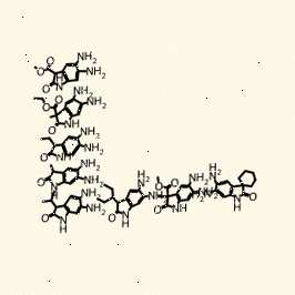 CC(C)C1C(=O)Nc2cc(N)c(N)cc21.CC1C(=O)Nc2cc(N)c(N)cc21.CCC(CC)C1C(=O)Nc2cc(N)c(N)cc21.CCC1C(=O)Nc2cc(N)c(N)cc21.CCOC(=O)C1(C)C(=O)Nc2cc(N)c(N)cc21.COC(=O)C1(C)C(=O)Nc2cc(N)c(N)cc21.COC(=O)C1C(=O)Nc2cc(N)c(N)cc21.Nc1cc2c(cc1N)C1(CCCCC1)C(=O)N2